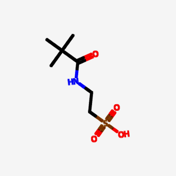 CC(C)(C)C(=O)NCCS(=O)(=O)O